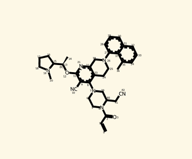 C=CC(=O)N1CCN(c2c(C#N)c(O[C@H](C)C3CCCN3C)nc3c2CCN(c2cccc4cccc(C)c24)C3)CC1CC#N